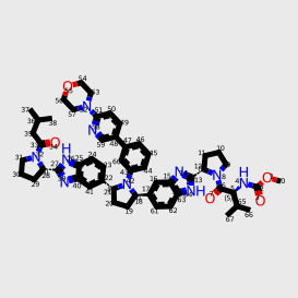 COC(=O)N[C@H](C(=O)N1CCC[C@H]1c1nc2cc([C@H]3CC[C@H](c4ccc5[nH]c([C@@H]6CCCN6C(=O)[CH]C(C)C)nc5c4)N3c3cccc(-c4ccc(N5CCOCC5)nc4)c3)ccc2[nH]1)C(C)C